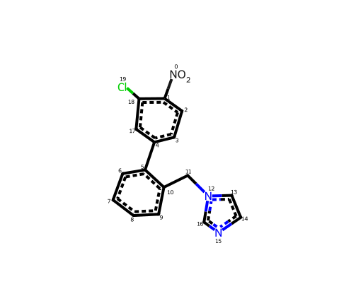 O=[N+]([O-])c1ccc(-c2ccccc2Cn2ccnc2)cc1Cl